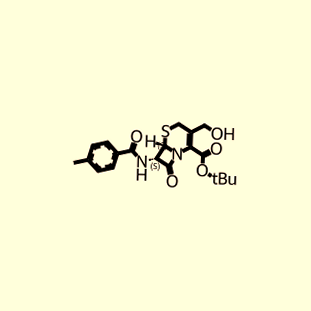 Cc1ccc(C(=O)N[C@H]2C(=O)N3C(C(=O)OC(C)(C)C)=C(CO)CS[C@@H]23)cc1